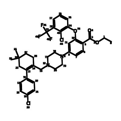 CCOC(=O)c1ccc(N2CCN(CC3=C(c4ccc(Cl)cc4)CC(C)(C)CC3)CC2)cc1Oc1cccc(C(F)(F)F)c1Cl